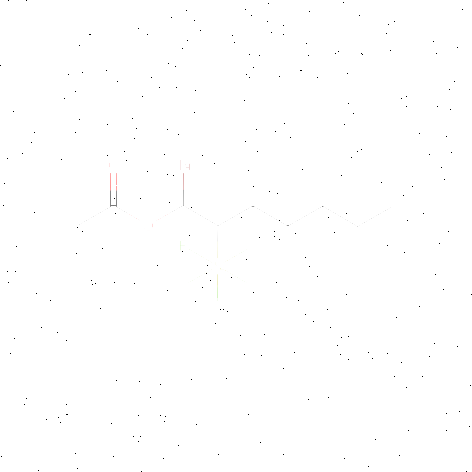 CCCCCC(C(Br)OC(C)=O)S(F)(F)(F)(F)F